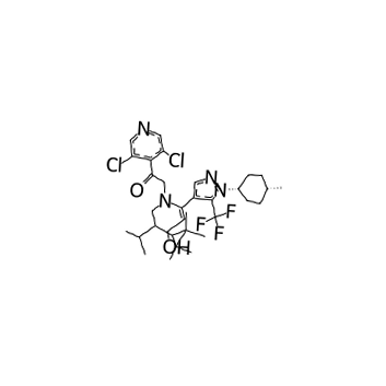 CC(C)C(CN(CC(=O)c1c(Cl)cncc1Cl)/C(=C\CO)c1cnn([C@H]2CC[C@@H](C)CC2)c1C(F)(F)F)C1C(C)(C)C1(C)C